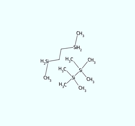 C[SiH2]CC[SiH2]C.C[Si](C)(C)[Si](C)(C)C